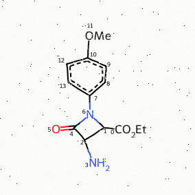 CCOC(=O)C1C(N)C(=O)N1c1ccc(OC)cc1